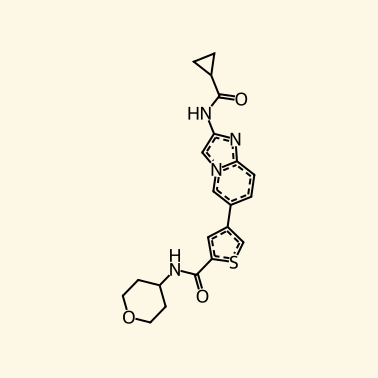 O=C(NC1CCOCC1)c1cc(-c2ccc3nc(NC(=O)C4CC4)cn3c2)cs1